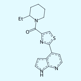 CCC1CCCCN1C(=O)c1csc(-c2ccnc3[nH]ccc23)n1